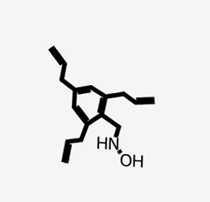 C=CCc1cc(CC=C)c(CNO)c(CC=C)c1